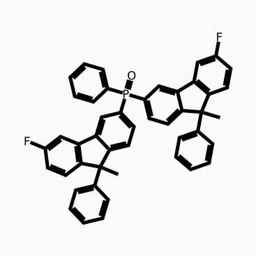 CC1(c2ccccc2)c2ccc(F)cc2-c2cc(P(=O)(c3ccccc3)c3ccc4c(c3)-c3cc(F)ccc3C4(C)c3ccccc3)ccc21